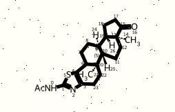 CC(=O)Nc1nc2c(s1)C1CC[C@@H]3[C@H](CC[C@]4(C)C(=O)CC[C@@H]34)[C@@]1(C)CC2